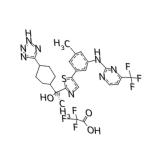 Cc1cc(Nc2nccc(C(F)(F)F)n2)cc(-c2cnc([C@@](C)(O)C3CCC(c4nn[nH]n4)CC3)s2)c1.O=C(O)C(F)(F)F